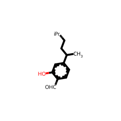 CC(C)CCC(C)c1ccc(C=O)c(O)c1